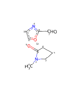 CN1CCCC1=O.O=Cc1ncco1